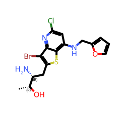 C[C@@H](O)[C@H](N)Cc1sc2c(NCc3ccco3)cc(Cl)nc2c1Br